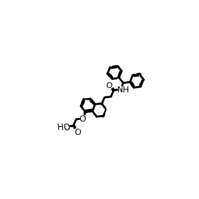 O=C(O)COc1cccc2c1CCCC2CCC(=O)NC(c1ccccc1)c1ccccc1